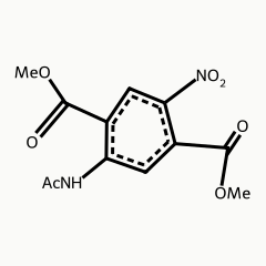 COC(=O)c1cc([N+](=O)[O-])c(C(=O)OC)cc1NC(C)=O